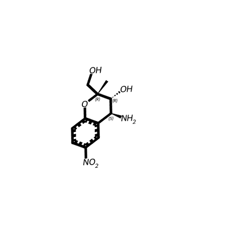 C[C@]1(CO)Oc2ccc([N+](=O)[O-])cc2[C@H](N)[C@H]1O